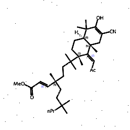 CCCC(C)(C)CC[C@](C)(/C=C/C(=O)OC)CCC(C)(C)[C@]1(C)CC[C@H]2C(C)(C)C(O)=C(C#N)C[C@]2(C)/C1=C/C(C)=O